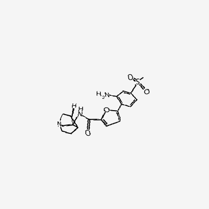 CS(=O)(=O)c1ccc(-c2ccc(C(=O)N[C@H]3CN4CCC3CC4)o2)c(N)c1